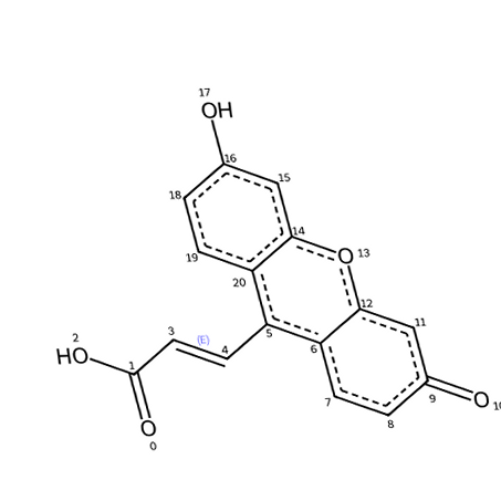 O=C(O)/C=C/c1c2ccc(=O)cc-2oc2cc(O)ccc12